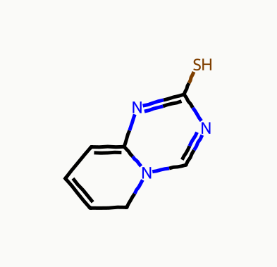 SC1=NC2=CC=CCN2C=N1